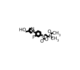 CC(=O)N(C)C1CN(c2ccc(-n3cc(CO)cn3)c(F)c2)C(=O)O1